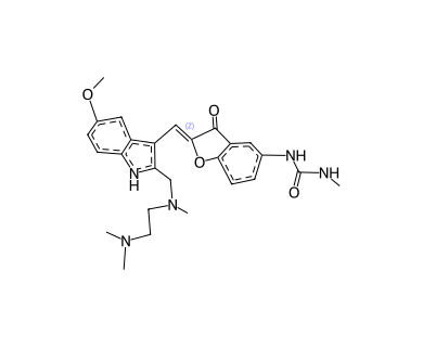 CNC(=O)Nc1ccc2c(c1)C(=O)/C(=C/c1c(CN(C)CCN(C)C)[nH]c3ccc(OC)cc13)O2